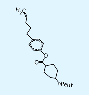 C=CCCCc1ccc(OC(=O)C2CCC(CCCCC)CC2)cc1